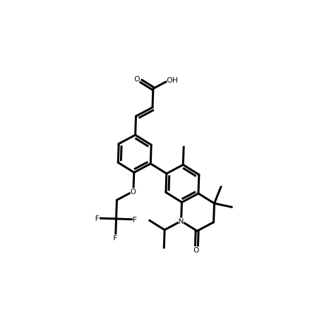 Cc1cc2c(cc1-c1cc(C=CC(=O)O)ccc1OCC(F)(F)F)N(C(C)C)C(=O)CC2(C)C